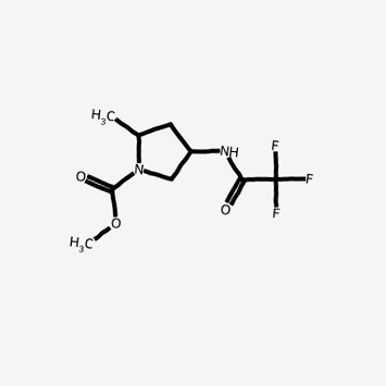 COC(=O)N1CC(NC(=O)C(F)(F)F)CC1C